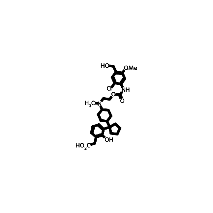 COc1cc(NC(=O)OCCN(C)C2CCC(C3(c4cccc(CC(=O)O)c4O)CCCC3)CC2)c(Cl)cc1CO